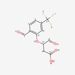 O=Cc1ccc(C(F)(F)F)cc1OC(C=O)CC(=O)O